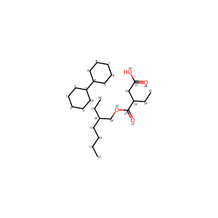 C1CCC(C2CCCCC2)CC1.CCCCC(CC)COC(=O)C(CC)CC(=O)O